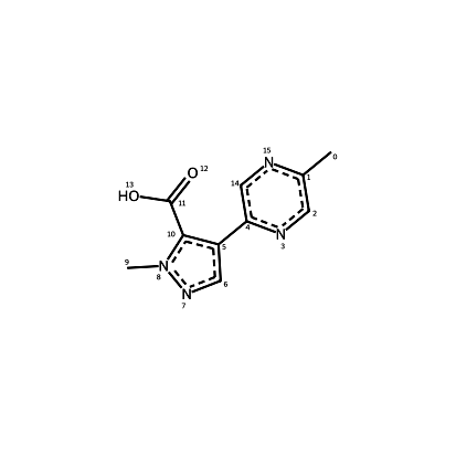 Cc1cnc(-c2cnn(C)c2C(=O)O)cn1